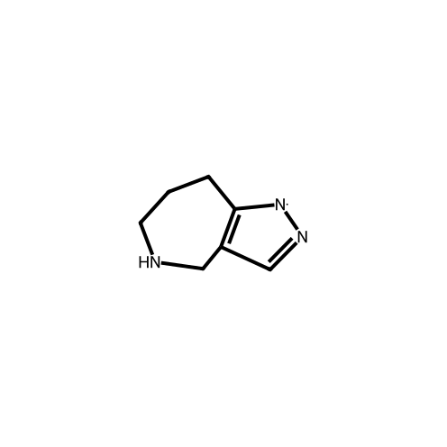 C1=N[N]C2=C1CNCCC2